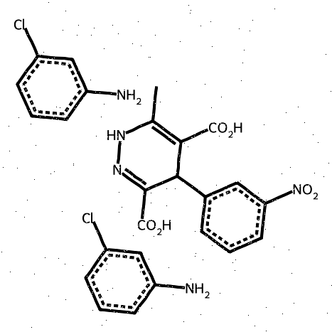 CC1=C(C(=O)O)C(c2cccc([N+](=O)[O-])c2)C(C(=O)O)=NN1.Nc1cccc(Cl)c1.Nc1cccc(Cl)c1